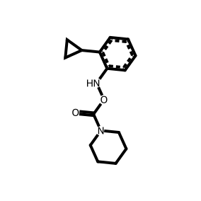 O=C(ONc1ccccc1C1CC1)N1CCCCC1